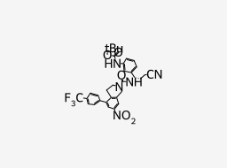 CC(C)(C)OC(=O)Nc1cccc([C@H](CCC#N)NC(=O)N2CCc3c(cc([N+](=O)[O-])cc3-c3ccc(C(F)(F)F)cc3)C2)c1